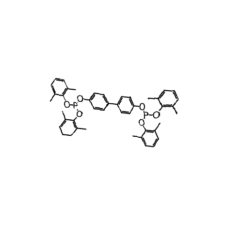 CC1=CCCC(C)=C1OP(Oc1ccc(-c2ccc(OP(Oc3c(C)cccc3C)Oc3c(C)cccc3C)cc2)cc1)Oc1c(C)cccc1C